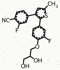 Cc1cc(-c2ccc(C#N)c(F)c2)c(-c2ccc(OCC(O)CO)c(F)c2)s1